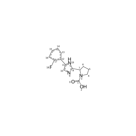 O=C(O)N1CCCC1c1ncc(-c2ccccc2F)[nH]1